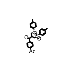 CC(=O)c1ccc(C(=O)C(CSc2ccc(C)cc2)CS(=O)(=O)c2ccc(C)cc2)cc1